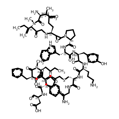 C=C(CC)[C@@H](C(=O)CN[C@@H](CCC(N)=O)C1OC1N1CCC[C@@H]1C(=O)N[C@@H](Cc1c[nH]c2ccccc12)C(=O)N[C@@H](Cc1ccc(O)cc1)C(O)N[C@@H](CCCN)C(=O)N[C@@H](CSCC(=O)N[C@@H](Cc1ccc(F)cc1)C(=O)N(C)[C@@H](Cc1ccccc1)C(=O)N(C)[C@@H](CCCC)C(=O)N1CCC[C@@H]1C(=O)N[C@H](C=O)CC(=O)O)C(=O)NCC(N)=O)N(C)C(=O)[C@@H](N)C(C)C